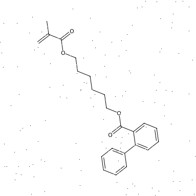 C=C(C)C(=O)OCCCCCCOC(=O)c1ccccc1-c1ccccc1